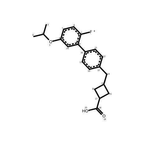 CC(C)Oc1ccc(F)c(-c2ccc(CC3CC(C(=O)O)C3)cc2)c1